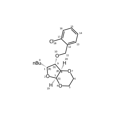 CCCC[C@H]1O[C@@H]2OCCO[C@@H]2[C@H]1OCc1ccccc1Cl